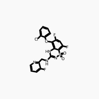 O=S1(=O)N=C(NCc2ncccc2F)Nc2c(Oc3ccccc3Cl)c(F)cc(F)c21